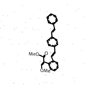 CO/C=C(/C(=O)OC)c1ccccc1/C=C/c1ccc(/C=C/c2ccccc2)cc1